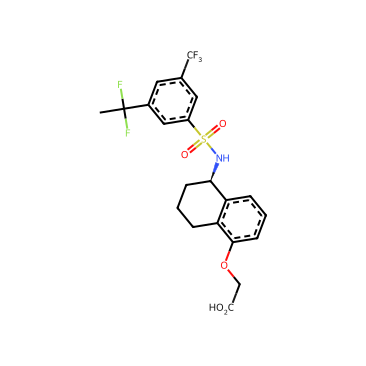 CC(F)(F)c1cc(C(F)(F)F)cc(S(=O)(=O)N[C@@H]2CCCc3c(OCC(=O)O)cccc32)c1